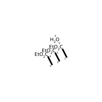 CCOC(C)=O.CCOC(C)=O.CCOC(C)=O.O